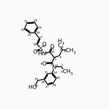 CCN(C(=O)C(CC(C)C)C(=O)NS(=O)(=O)/C=C/c1ccccc1)c1cccc(CO)c1